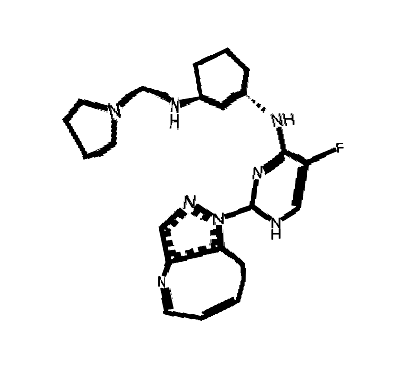 FC1=CNC(n2ncc3c2CC=CC=N3)N=C1N[C@H]1CCC[C@H](NCN2CCCC2)C1